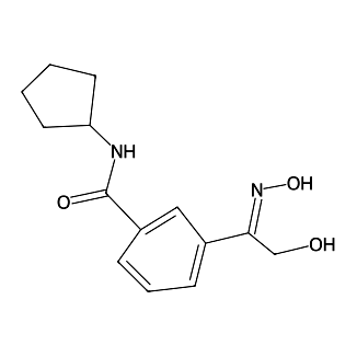 O=C(NC1CCCC1)c1cccc(C(CO)=NO)c1